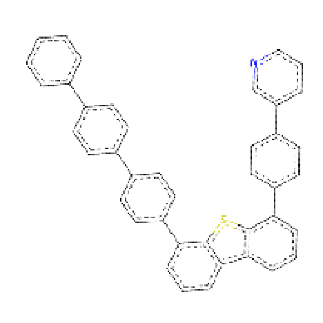 c1ccc(-c2ccc(-c3ccc(-c4cccc5c4sc4c(-c6ccc(-c7cccnc7)cc6)cccc45)cc3)cc2)cc1